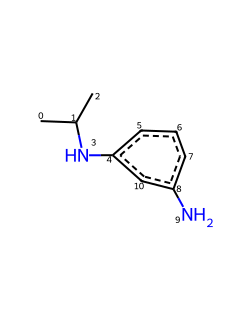 CC(C)Nc1cccc(N)c1